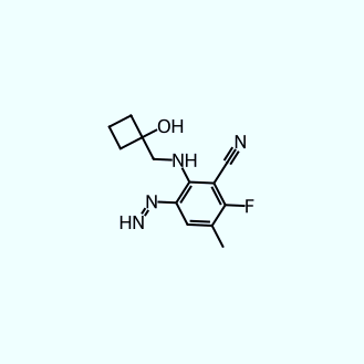 Cc1cc(N=N)c(NCC2(O)CCC2)c(C#N)c1F